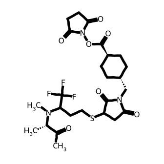 CC(=O)[C@H](C)N(C)C(CCSC1CC(=O)N(C[C@H]2CC[C@H](C(=O)ON3C(=O)CCC3=O)CC2)C1=O)C(F)(F)F